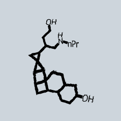 CCCNCC(CCO)C1CC12C1C3CC4C5CCC(O)CC5CCC43C12